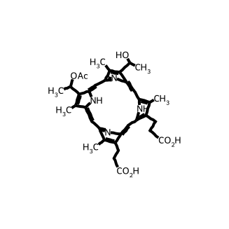 CC(=O)OC(C)c1c(C)c2cc3nc(cc4[nH]c(cc5nc(cc1[nH]2)C(C)=C5C(C)O)c(C)c4CCC(=O)O)C(CCC(=O)O)=C3C